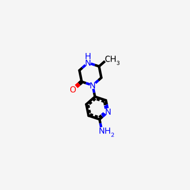 CC1CN(c2ccc(N)nc2)C(=O)CN1